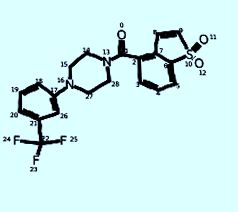 O=C(c1cccc2c1C=CS2(=O)=O)N1CCN(c2cccc(C(F)(F)F)c2)CC1